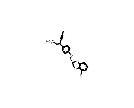 CC#CC(CC(=O)O)c1ccc(OC[C@H]2COc3c(Cl)cccc3O2)cc1